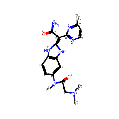 CCN(CC)CC(=O)N(CC)c1ccc2c(c1)N/C(=C(/C(N)=O)c1nccc(C(F)(F)F)n1)N2